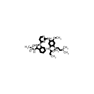 C=CC(=O)Nc1cc(Nc2nccc(N3NC(NS(C)(=O)=O)c4ccccc43)n2)c(OC)cc1N(C)CCN(C)C